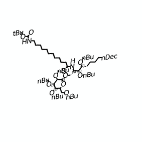 CCCCCCCCCCCCCC[C@@H](OCCCC)[C@@H](OCCCC)[C@H](CO[C@H]1OC(COCCCC)[C@H](OCCCC)[C@H](OCCCC)C1OCCCC)NC(=O)CCCCCCCCCCCNC(=O)OC(C)(C)C